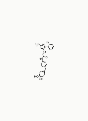 O=C(COc1cc(C(F)(F)F)nn1-c1ccccc1Cl)Nc1ccc(CN2CCS(O)(O)CC2)cc1